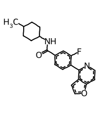 CC1CCC(NC(=O)c2ccc(-c3nccc4occc34)c(F)c2)CC1